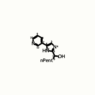 CCCCCC(O)c1ncc(-c2cccnc2)[nH]1